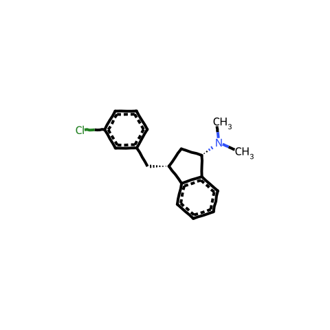 CN(C)[C@H]1C[C@@H](Cc2cccc(Cl)c2)c2ccccc21